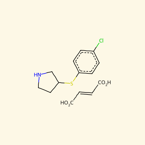 Clc1ccc(SC2CCNC2)cc1.O=C(O)C=CC(=O)O